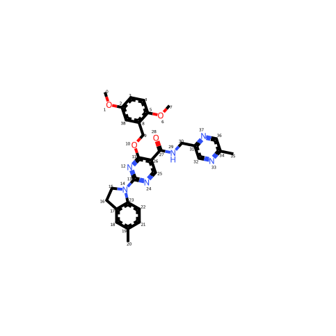 COc1ccc(OC)c(COc2nc(N3CCc4cc(C)ccc43)ncc2C(=O)NCc2cnc(C)cn2)c1